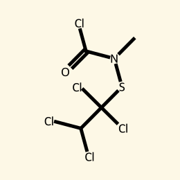 CN(SC(Cl)(Cl)C(Cl)Cl)C(=O)Cl